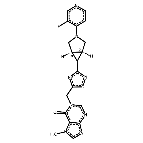 Cn1cnc2ncn(Cc3nc(C4[C@H]5CN(c6ccncc6F)C[C@@H]45)no3)c(=O)c21